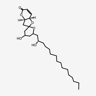 CCCCCCCCCCCCCC[C@@H](O)CC1CC(O)CC2(C[C@@H]3OC(=O)C=C[C@@H]3O2)O1